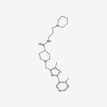 Cc1ccccc1-c1nc(CN2CCC(C(=O)NCCCN3CCCCC3)CC2)c(C)s1